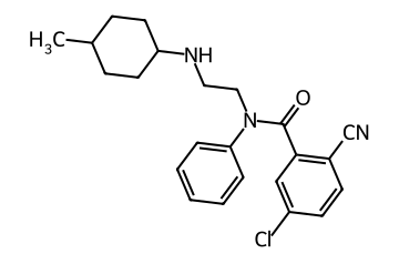 CC1CCC(NCCN(C(=O)c2cc(Cl)ccc2C#N)c2ccccc2)CC1